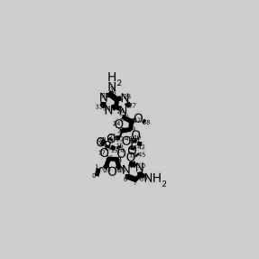 CC[C@H]1O[C@@H](n2ccc(N)nc2=O)[C@@H](OC)C1OP(C)(=O)OC[C@H]1O[C@@H](n2cnc3c(N)ncnc32)[C@@H](OC)C1OP(C)(=O)OC